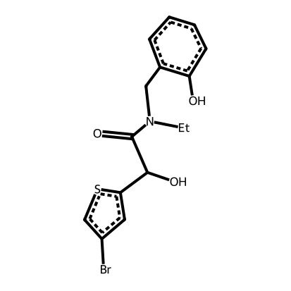 CCN(Cc1ccccc1O)C(=O)C(O)c1cc(Br)cs1